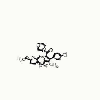 COc1cccc(Cn2c(C(=O)N3CCOCC3)c(-c3ccc(Cl)cc3)c(C)c2C(F)(F)F)n1